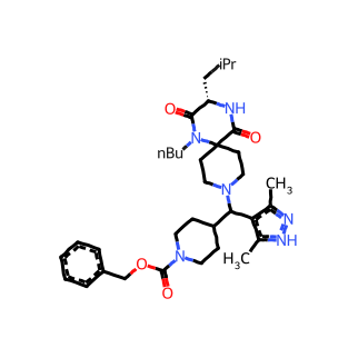 CCCCN1C(=O)[C@H](CC(C)C)NC(=O)C12CCN(C(c1c(C)n[nH]c1C)C1CCN(C(=O)OCc3ccccc3)CC1)CC2